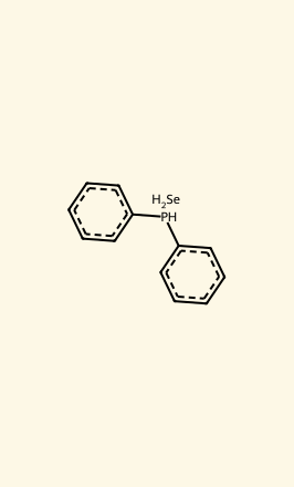 [SeH2].c1ccc(Pc2ccccc2)cc1